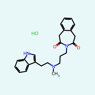 CN(CCCN1C(=O)Cc2ccccc2CC1=O)CCc1c[nH]c2ccccc12.Cl